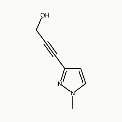 Cn1ccc(C#CCO)n1